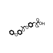 CO[C@@H](Cc1ccc(OCC(C)Oc2ccc(Oc3ccccc3)cc2)cc1)C(=O)O